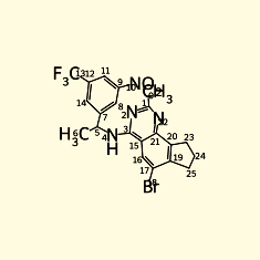 Cc1nc(NC(C)c2cc([N+](=O)[O-])cc(C(F)(F)F)c2)c2cc(Br)c3c(c2n1)CCC3